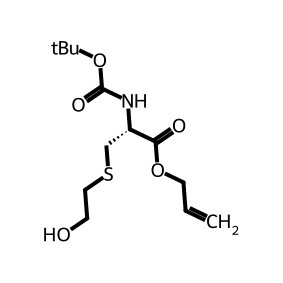 C=CCOC(=O)[C@H](CSCCO)NC(=O)OC(C)(C)C